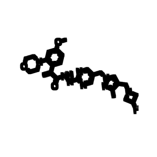 C=C(C(=O)NNc1ncc(Cn2cc(CN3CC(F)C3)c(C)n2)cn1)c1ccc(OC)cc1N1CCOCC1